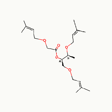 CC(C)=CCOCC(=O)O[C@H](COCC=C(C)C)[C@H](C)OCC=C(C)C